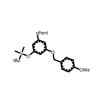 CCCCCc1cc(OCc2ccc(OC)cc2)cc(O[Si](C)(C)C(C)(C)C)c1